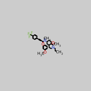 C=CCN1CC[C@@]2(c3cccc(OC)c3)C[C@H](N(C)C(=O)C#Cc3ccc(C(F)(F)F)cc3)CC[C@]2(OC)C1